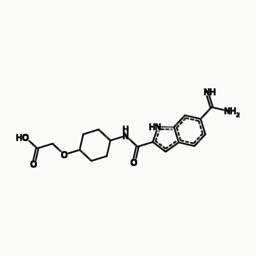 N=C(N)c1ccc2cc(C(=O)NC3CCC(OCC(=O)O)CC3)[nH]c2c1